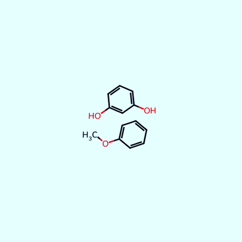 COc1ccccc1.Oc1cccc(O)c1